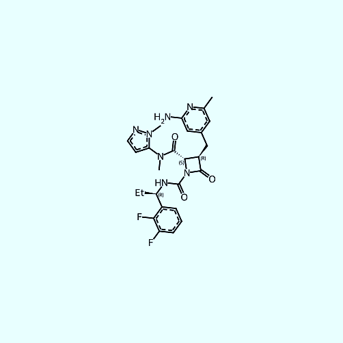 CC[C@@H](NC(=O)N1C(=O)[C@H](Cc2cc(C)nc(N)c2)[C@H]1C(=O)N(C)c1ccnn1C)c1cccc(F)c1F